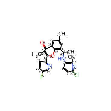 Cc1cc([C@@H](C)Nc2ccc(Cl)nc2C#N)c2oc(-c3ccc(F)cn3)c(C)c(=O)c2c1